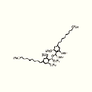 COCCCCCCCCc1cc(SC)c(C(OC)OC(OC)c2c(SC)cc(CCCCCCCCOC)cc2SC)c(SC)c1